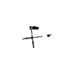 COC(C)(C)C.[H+]